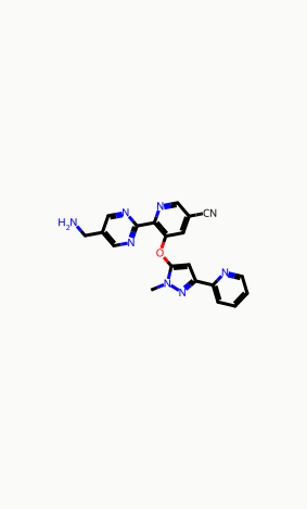 Cn1nc(-c2ccccn2)cc1Oc1cc(C#N)cnc1-c1ncc(CN)cn1